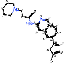 C=C(CCN1CCCCC1)Nc1cc2cc(C3=CC=C(C)C3)ccc2cn1